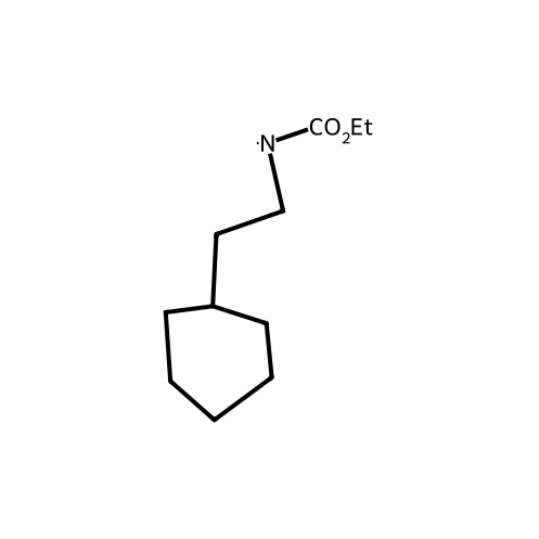 CCOC(=O)[N]CCC1CCCCC1